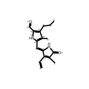 C=CC1=C(C)C(=O)N/C1=C\c1[nH]c(C=O)c(CCC)c1C